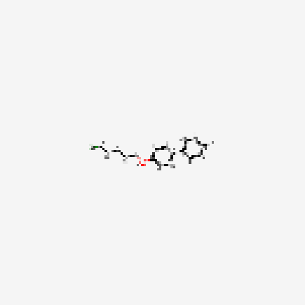 Cc1ccc(-c2ccc(OCCCCCF)cc2)cc1